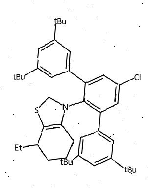 CCC1CCCC2=C1SCN2c1c(-c2cc(C(C)(C)C)cc(C(C)(C)C)c2)cc(Cl)cc1-c1cc(C(C)(C)C)cc(C(C)(C)C)c1